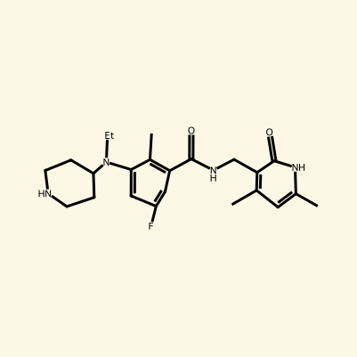 CCN(c1cc(F)cc(C(=O)NCc2c(C)cc(C)[nH]c2=O)c1C)C1CCNCC1